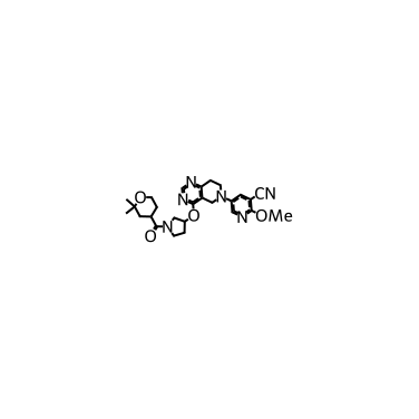 COc1ncc(N2CCc3ncnc(OC4CCN(C(=O)C5CCOC(C)(C)C5)C4)c3C2)cc1C#N